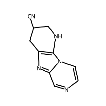 N#CC1CNc2c(nc3cnccn23)C1